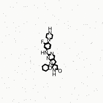 O=C1CC2(Cc3cnc(Nc4ccc(N5CCNCC5)c(F)c4)nc3N2C2CCCCC2)C(=O)N1